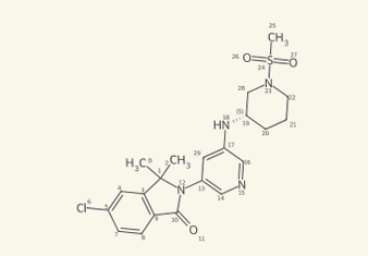 CC1(C)c2cc(Cl)ccc2C(=O)N1c1cncc(N[C@H]2CCCN(S(C)(=O)=O)C2)c1